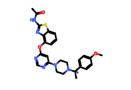 COc1ccc([C@@H](C)N2CCN(c3cc(Oc4cccc5sc(NC(C)=O)nc45)ncn3)CC2)cc1